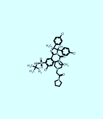 CCOc1cc(Cl)c(S(=O)(=O)NC(C)(C)C)cc1C1=N[C@@](C)(c2ccc(Cl)cc2)C(C)(c2ccc(Cl)cc2)N1C(=O)N1CCN(CC(=O)N2CCCC2)CC1